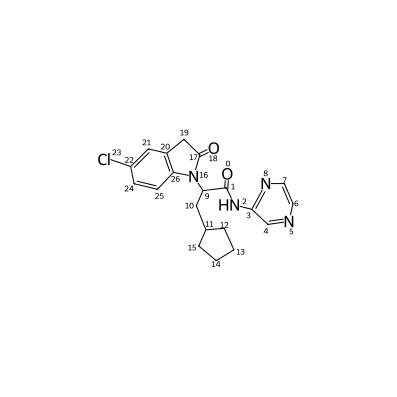 O=C(Nc1cnccn1)C(CC1CCCC1)N1C(=O)Cc2cc(Cl)ccc21